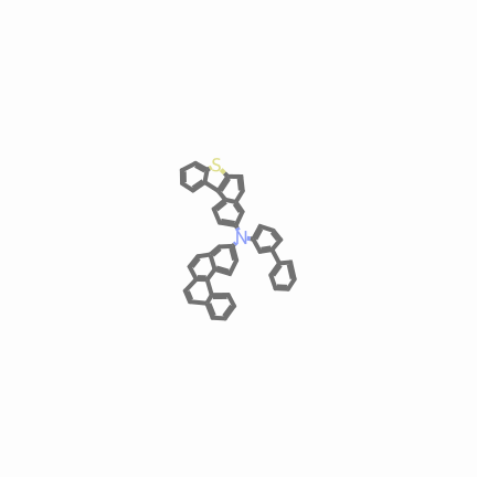 c1ccc(-c2cccc(N(c3ccc4c(ccc5ccc6ccccc6c54)c3)c3ccc4c(ccc5sc6ccccc6c54)c3)c2)cc1